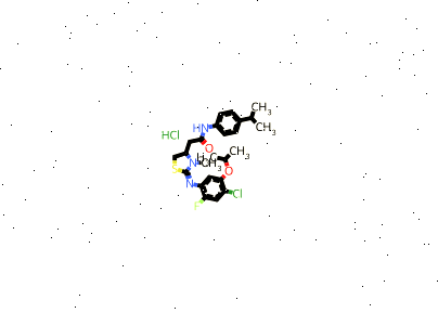 CC(C)Oc1cc(N=C2SCC(CC(=O)Nc3ccc(C(C)C)cc3)N2C)c(F)cc1Cl.Cl